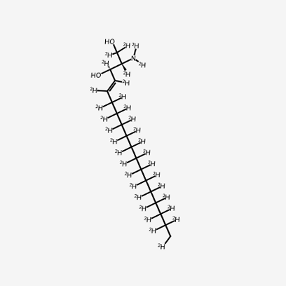 [2H]CC([2H])([2H])C([2H])([2H])C([2H])([2H])C([2H])([2H])C([2H])([2H])C([2H])([2H])C([2H])([2H])C([2H])([2H])C([2H])([2H])C([2H])([2H])C([2H])([2H])C([2H])([2H])/C([2H])=C(\[2H])[C@@]([2H])(O)[C@@]([2H])(N([2H])[2H])C([2H])([2H])O